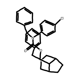 O=C(OCC1C2CCC1CN(Cc1ccccc1)C2)N(Cc1ccccc1)c1ccc(Cl)cc1